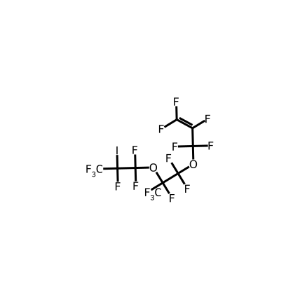 FC(F)=C(F)C(F)(F)OC(F)(F)C(F)(OC(F)(F)C(F)(I)C(F)(F)F)C(F)(F)F